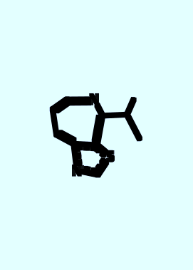 CC(C)C1=c2scnc2=CC=C=N1